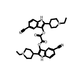 CCN1CCC(c2[nH]c3ccc(C#N)cc3c2OC(=O)C(=O)Oc2c(C3CCN(CC)CC3)[nH]c3ccc(C#N)cc23)CC1